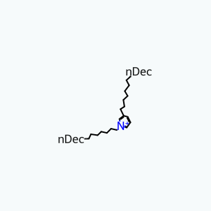 CCCCCCCCCCCCCCCCCCc1ccc[n+](CCCCCCCCCCCCCCCCC)c1